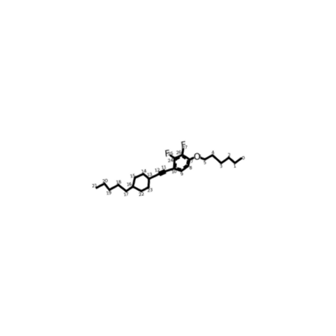 CCCCCCOc1ccc(C#CC2CCC(CCCCC)CC2)c(F)c1F